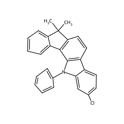 CC1(C)c2ccccc2-c2c1ccc1c3ccc(Cl)cc3n(-c3ccccc3)c21